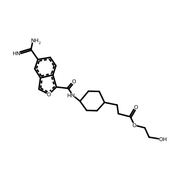 N=C(N)c1ccc2c(C(=O)NC3CCC(CCC(=O)OCCO)CC3)occ2c1